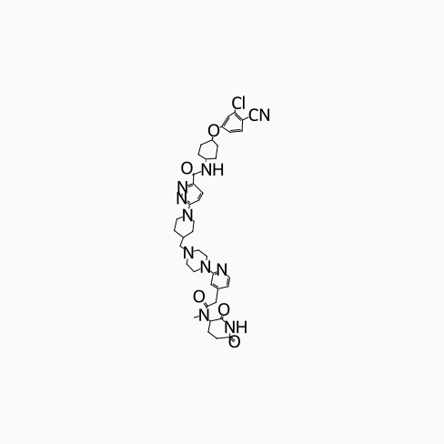 CN(C(=O)Cc1ccnc(N2CCN(CC3CCN(c4ccc(C(=O)N[C@H]5CC[C@H](Oc6ccc(C#N)c(Cl)c6)CC5)nn4)CC3)CC2)c1)C1CCC(=O)NC1=O